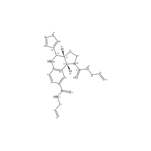 C=CCNC(=O)c1ccc2c(c1)[C@@H]1[C@@H](CCN1C(=O)OCC=C)C(c1ccsc1)N2